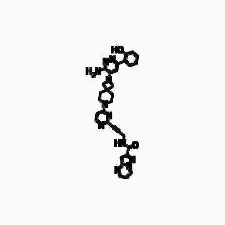 Nc1nnc(-c2ccccc2O)cc1N1CC2(CCN(c3ccnc(C#CCNC(=O)c4cc5ncccn5n4)n3)CC2)C1